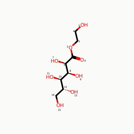 O=C(OCCO)[C@H](O)[C@@H](O)[C@H](O)[C@H](O)CO